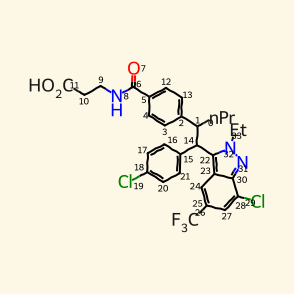 CCCC(c1ccc(C(=O)NCCC(=O)O)cc1)C(c1ccc(Cl)cc1)c1c2cc(C(F)(F)F)cc(Cl)c2nn1CC